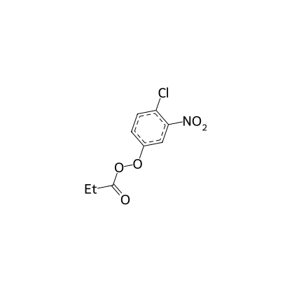 CCC(=O)OOc1ccc(Cl)c([N+](=O)[O-])c1